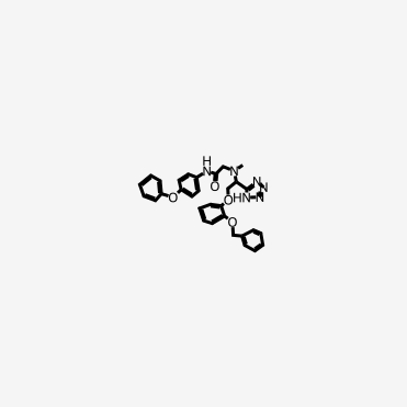 CN(CC(=O)Nc1ccc(Oc2ccccc2)cc1)C(COc1ccccc1OCc1ccccc1)c1nnn[nH]1